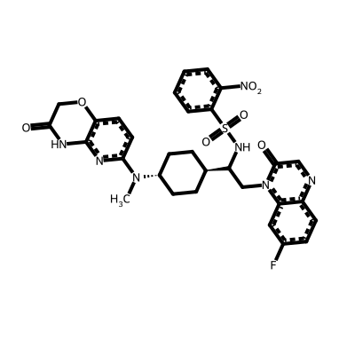 CN(c1ccc2c(n1)NC(=O)CO2)[C@H]1CC[C@H](C(Cn2c(=O)cnc3ccc(F)cc32)NS(=O)(=O)c2ccccc2[N+](=O)[O-])CC1